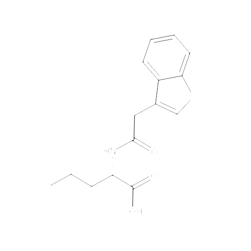 CC[C@@H](C)[C@H](NC(=O)Cc1csc2ccccc12)C(=O)O